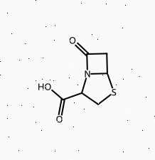 O=C(O)C1CSC2CC(=O)N21